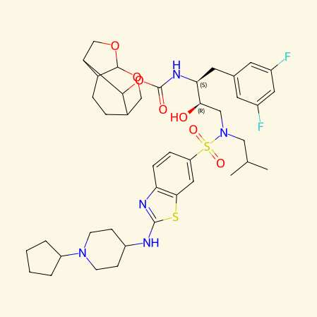 CC(C)CN(C[C@@H](O)[C@H](Cc1cc(F)cc(F)c1)NC(=O)OC1C2CCC3C(OC2)OCC31)S(=O)(=O)c1ccc2nc(NC3CCN(C4CCCC4)CC3)sc2c1